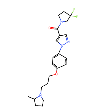 CC1CCCN1CCCOc1ccc(-n2cc(C(=O)N3CCC(F)(F)C3)cn2)cc1